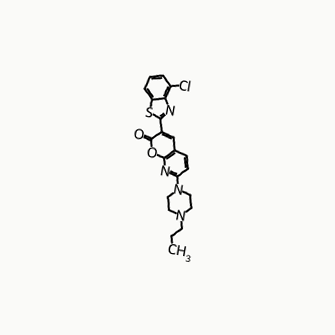 CCCN1CCN(c2ccc3cc(-c4nc5c(Cl)cccc5s4)c(=O)oc3n2)CC1